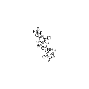 COC(=O)C(C)(NC(=O)Cc1c(Cl)cc(OC(F)(F)F)cc1Br)C1CC1